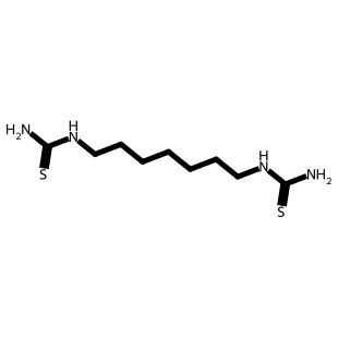 NC(=S)NCCCCCCCNC(N)=S